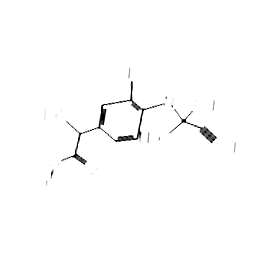 C#CC(C)(C)Nc1ccc(C(C)C(=O)OC)cc1F